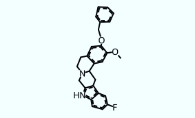 COc1cc2c(cc1OCc1ccccc1)CCN1Cc3[nH]c4ccc(F)cc4c3CC21